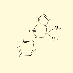 CC1(C)CC(c2ccccc2)Nc2cccn21